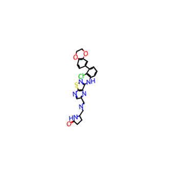 O=C1CCC(CN=Cc2cnc3snc(Nc4cccc(-c5ccc6c(c5)OCCO6)c4Cl)c3n2)N1